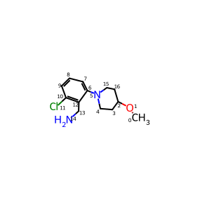 COC1CCN(c2cccc(Cl)c2CN)CC1